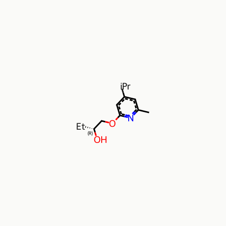 CC[C@@H](O)COc1cc(C(C)C)cc(C)n1